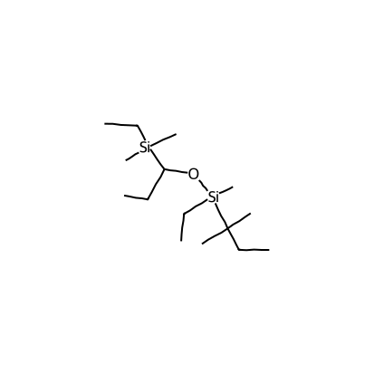 CCC(O[Si](C)(CC)C(C)(C)CC)[Si](C)(C)CC